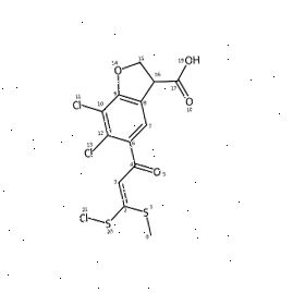 CS/C(=C\C(=O)c1cc2c(c(Cl)c1Cl)OCC2C(=O)O)SCl